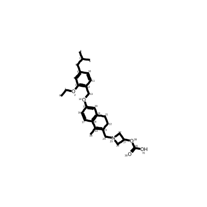 CCOc1cc(CC(C)C)ccc1COc1ccc2c(c1)CCC(CN1CC(OC(=O)O)C1)=C2C